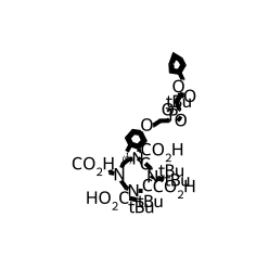 CC(C)(C)OP(=O)(CCCOc1ccc(C[C@H]2CN(CC(=O)O)CCN(C(C(=O)O)(C(C)(C)C)C(C)(C)C)CCN(C(C(=O)O)(C(C)(C)C)C(C)(C)C)CCN2CC(=O)O)cc1)CCC(=O)OCc1ccccc1